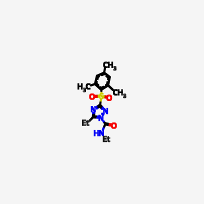 CCNC(=O)n1nc(S(=O)(=O)c2c(C)cc(C)cc2C)nc1CC